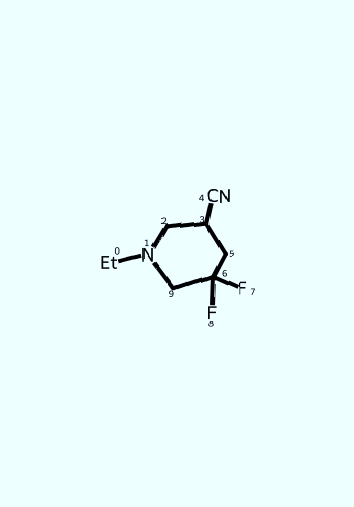 CCN1CC(C#N)CC(F)(F)C1